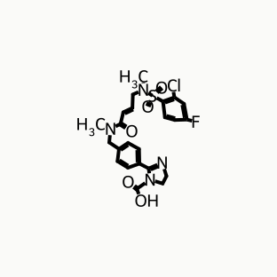 CN(Cc1ccc(C2=NCCN2C(=O)O)cc1)C(=O)/C=C/CN(C)S(=O)(=O)c1ccc(F)cc1Cl